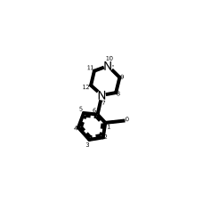 Cc1ccccc1N1CC[N]CC1